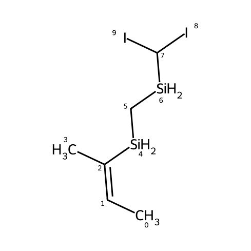 CC=C(C)[SiH2]C[SiH2]C(I)I